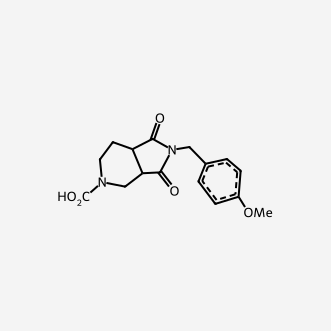 COc1ccc(CN2C(=O)C3CCN(C(=O)O)CC3C2=O)cc1